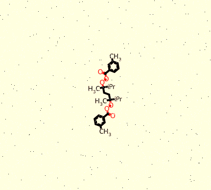 Cc1cccc(C(=O)OOC(C)(CCC(C)(OOC(=O)c2cccc(C)c2)C(C)C)C(C)C)c1